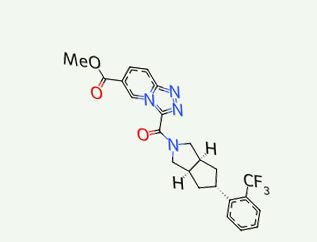 COC(=O)c1ccc2nnc(C(=O)N3C[C@H]4C[C@H](c5ccccc5C(F)(F)F)C[C@H]4C3)n2c1